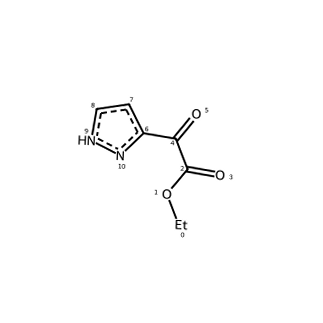 CCOC(=O)C(=O)c1cc[nH]n1